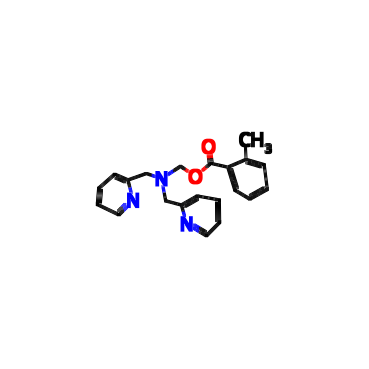 Cc1ccccc1C(=O)OCN(Cc1ccccn1)Cc1ccccn1